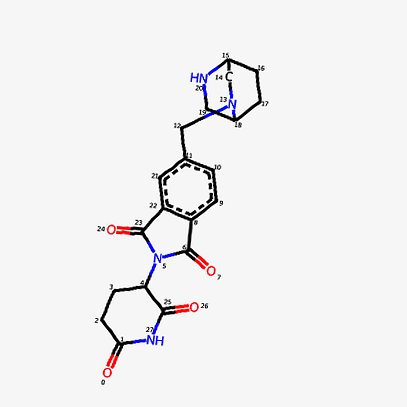 O=C1CCC(N2C(=O)c3ccc(CN4CC5CCC4CN5)cc3C2=O)C(=O)N1